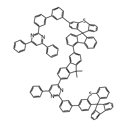 CC1(C)c2ccc(-c3cccc4c3-c3ccccc3C43c4ccccc4Sc4cc(-c5cccc(-c6cccc(-c7nc(-c8ccccc8)cc(-c8ccccc8)n7)c6)c5)ccc43)cc2-c2ccc(-c3cc(-c4ccccc4)nc(-c4cccc(-c5ccc6c(c5)Sc5ccccc5C65c6ccccc6-c6ccccc65)c4)n3)cc21